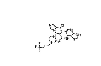 CC(Nc1ncnc2[nH]cnc12)c1cc(Cl)c2cncn2c1N1CCN(CCCC(F)(F)F)CC1